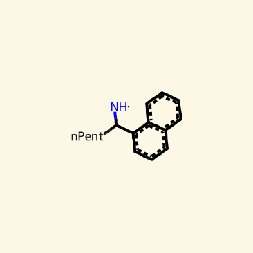 CCCCCC([NH])c1cccc2ccccc12